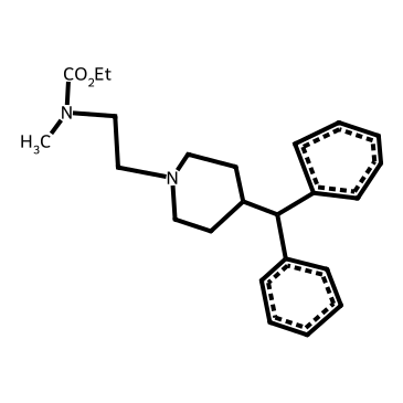 CCOC(=O)N(C)CCN1CCC(C(c2ccccc2)c2ccccc2)CC1